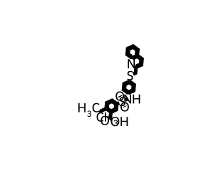 CC(C)c1ccc(S(=O)(=O)Nc2ccc(SCc3ccc4ccccc4n3)cc2)cc1C(=O)O